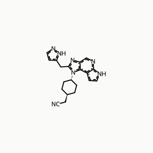 N#CC[C@H]1CC[C@H](n2c(Cc3ccn[nH]3)nc3cnc4[nH]ccc4c32)CC1